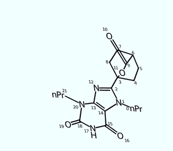 CCCn1c(C23CCC(CC2)C(=O)O3)nc2c1c(=O)[nH]c(=O)n2CCC